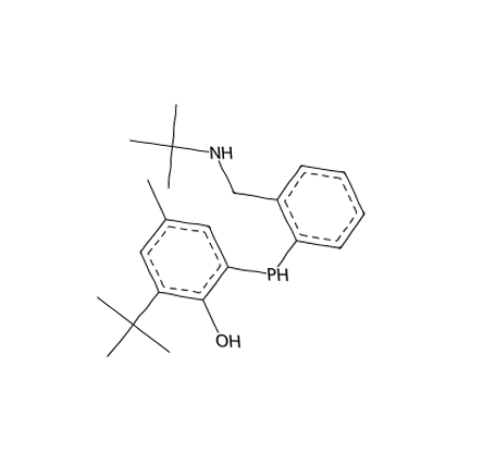 Cc1cc(Pc2ccccc2CNC(C)(C)C)c(O)c(C(C)(C)C)c1